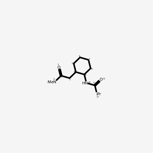 CNC(=O)CC1CCCCC1NC(=O)C(C)C